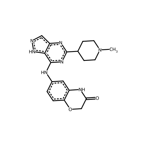 CN1CCC(c2nc(Nc3ccc4c(c3)NC(=O)CO4)c3[nH]ncc3n2)CC1